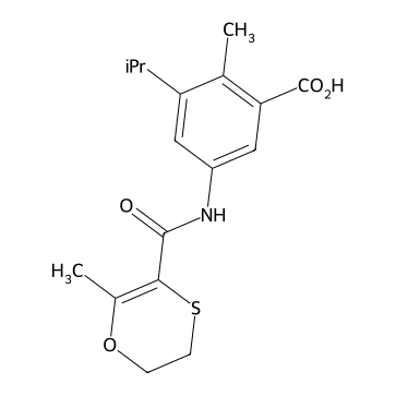 CC1=C(C(=O)Nc2cc(C(=O)O)c(C)c(C(C)C)c2)SCCO1